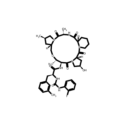 Cc1cccc(C[C@H](NC(=O)Nc2ccccc2F)C(=O)N[C@@H]2C(=O)N3C[C@H](O)C[C@H]3C(=O)N3CCCC[C@H]3C(=O)N[C@@H](C)C(=O)N3C[C@H](C)C[C@H]3CO[C@H]2C)c1